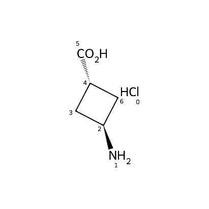 Cl.N[C@H]1C[C@H](C(=O)O)C1